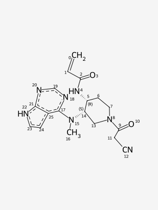 C=CC(=O)N[C@@H]1CCN(C(=O)CC#N)C[C@@H]1N(C)c1ncnc2[nH]ccc12